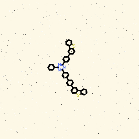 c1ccc(-c2nc(-c3ccc(-c4ccc(-c5ccc6sc7ccccc7c6c5)cc4)cc3)nc(-c3ccc(-c4ccc5sc6ccccc6c5c4)cc3)n2)cc1